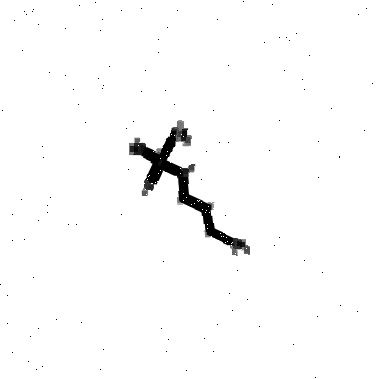 CP(=O)(O)OCCC[SiH3]